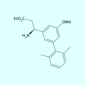 CCOC(=O)C[C@H](N)c1cc(OC)cc(-c2c(C)cccc2C)c1